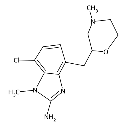 CN1CCOC(Cc2ccc(Cl)c3c2nc(N)n3C)C1